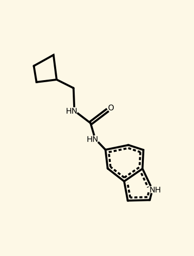 O=C(NCC1CCC1)Nc1ccc2[nH]ccc2c1